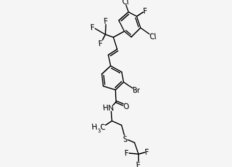 CC(CSCC(F)(F)F)NC(=O)c1ccc(/C=C/C(c2cc(Cl)c(F)c(Cl)c2)C(F)(F)F)cc1Br